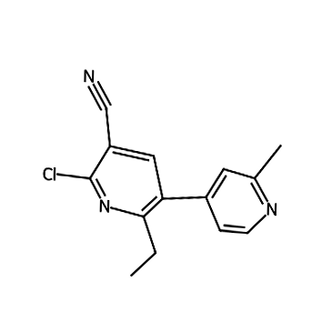 CCc1nc(Cl)c(C#N)cc1-c1ccnc(C)c1